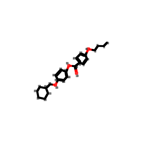 CCCCOc1ccc(C(=O)Oc2ccc(OCC3CC[CH]CC3)cc2)cc1